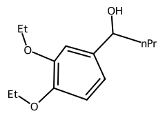 CCCC(O)c1ccc(OCC)c(OCC)c1